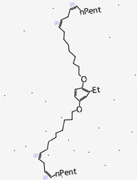 CCCCC/C=C\C/C=C\CCCCCCCCOc1ccc(OCCCCCCCC/C=C\C/C=C\CCCCC)c(CC)c1